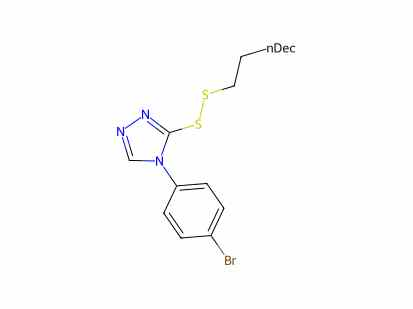 CCCCCCCCCCCCSSc1nncn1-c1ccc(Br)cc1